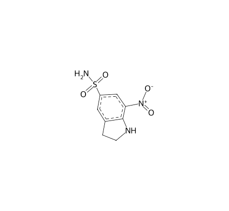 NS(=O)(=O)c1cc2c(c([N+](=O)[O-])c1)NCC2